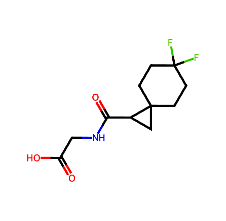 O=C(O)CNC(=O)C1CC12CCC(F)(F)CC2